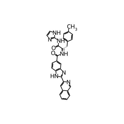 Cc1ccc(C[C@H](NC(=O)c2ccc3[nH]c(-c4cc5ccccc5cn4)nc3c2)C(=O)Nc2ncc[nH]2)cc1